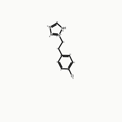 Clc1ccc(C[CH][n+]2nnc[nH]2)cc1